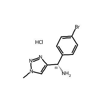 Cl.Cn1cc([C@@H](N)c2ccc(Br)cc2)nn1